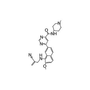 C=C(C#N)CNc1c(OC)ccc2ccc(-c3cc(C(=O)NC4CCN(C)CC4)ncn3)cc12